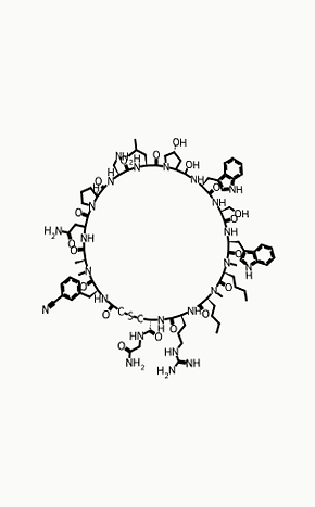 CCCC[C@H]1C(=O)N(C)[C@@H](CCCC)C(=O)N[C@@H](CCCNC(=N)N)C(=O)N[C@H](C(=O)NCC(N)=O)CSCC(=O)N[C@@H](Cc2cccc(C#N)c2)C(=O)N(C)[C@@H](C)C(=O)NC(CC(N)=O)C(=O)N2CCC[C@H]2C(=O)N[C@@H](CN)C(=O)N[C@@H](CC(C)C)C(=O)N2C[C@H](O)CC2C(O)N[C@@H](Cc2c[nH]c3ccccc23)C(=O)N[C@@H](CO)C(=O)N[C@@H](Cc2c[nH]c3ccccc23)C(=O)N1C